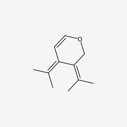 CC(C)=C1C=COCC1=C(C)C